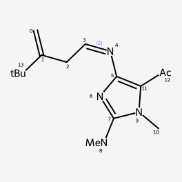 C=C(C/C=N\c1nc(NC)n(C)c1C(C)=O)C(C)(C)C